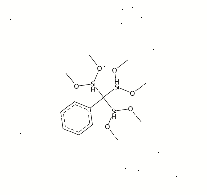 CO[SiH](OC)C(c1ccccc1)([SiH](OC)OC)[SiH](OC)OC